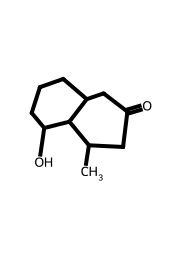 CC1CC(=O)CC2CCCC(O)C12